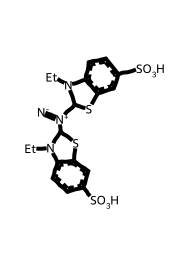 CCN1c2ccc(S(=O)(=O)O)cc2SC1[N+](=[N-])C1Sc2cc(S(=O)(=O)O)ccc2N1CC